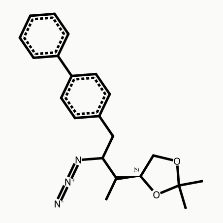 CC(C(Cc1ccc(-c2ccccc2)cc1)N=[N+]=[N-])[C@H]1COC(C)(C)O1